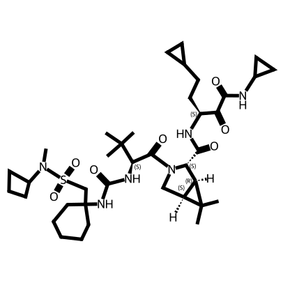 CN(C1CCC1)S(=O)(=O)CC1(NC(=O)N[C@H](C(=O)N2C[C@H]3[C@@H]([C@H]2C(=O)N[C@@H](CCC2CC2)C(=O)C(=O)NC2CC2)C3(C)C)C(C)(C)C)CCCCC1